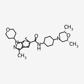 Cc1nn(C2CCOCC2)c2sc(C(=O)NC3CCC(N4C[C@@H](C)O[C@@H](C)C4)CC3)cc12